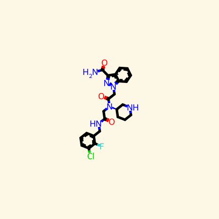 NC(=O)c1nn(CC(=O)N(CC(=O)NCc2cccc(Cl)c2F)[C@@H]2CCCNC2)c2ccccc12